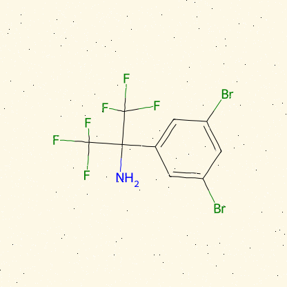 NC(c1cc(Br)cc(Br)c1)(C(F)(F)F)C(F)(F)F